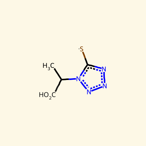 CC(C(=O)O)n1nnnc1[S]